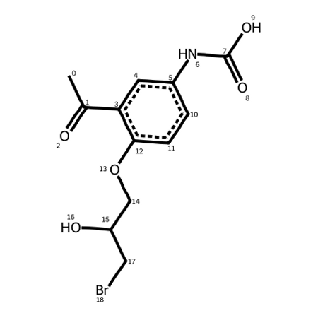 CC(=O)c1cc(NC(=O)O)ccc1OCC(O)CBr